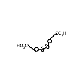 O=C(O)CCCCc1ccc(C2=CCC(c3ccc(-c4ccc(CCCCC(=O)O)cc4)s3)S2)cc1